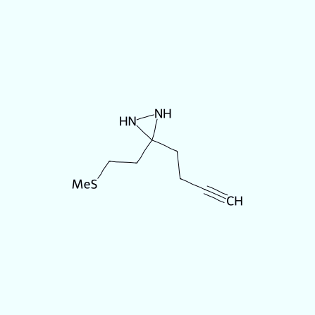 C#CCCC1(CCSC)NN1